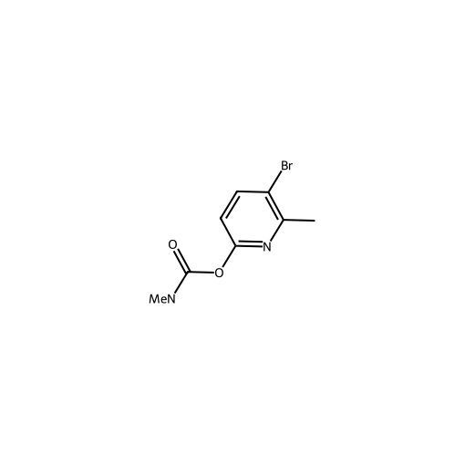 CNC(=O)Oc1ccc(Br)c(C)n1